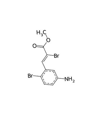 COC(=O)C(Br)=Cc1cc(N)ccc1Br